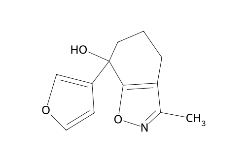 Cc1noc2c1CCCC2(O)c1ccoc1